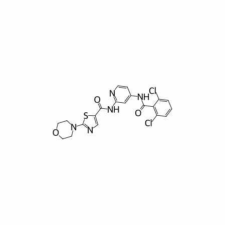 O=C(Nc1cc(NC(=O)c2c(Cl)cccc2Cl)ccn1)c1cnc(N2CCOCC2)s1